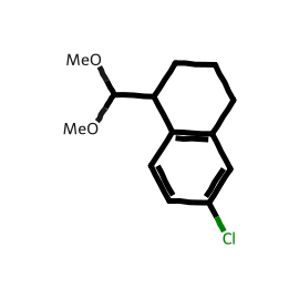 COC(OC)C1CCCc2cc(Cl)ccc21